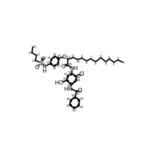 CCCCCCCCCCCCC(Oc1ccc(NS(=O)(=O)CCCC)cc1)C(=O)Nc1cc(O)c(NC(=O)c2ccccc2)cc1Cl